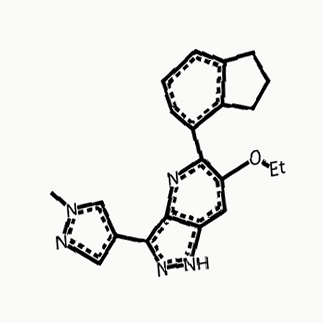 CCOc1cc2[nH]nc(-c3cnn(C)c3)c2nc1-c1cccc2c1CCC2